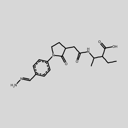 CCC(C(=O)O)C(C)NC(=O)CC1CCN(c2ccc(C=NN)cc2)C1=O